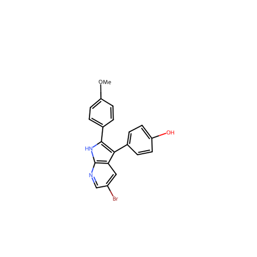 COc1ccc(-c2[nH]c3ncc(Br)cc3c2-c2ccc(O)cc2)cc1